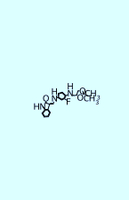 CC1(C)OCC(CNc2ccc(NC=C3C(=O)Nc4ccccc43)cc2F)O1